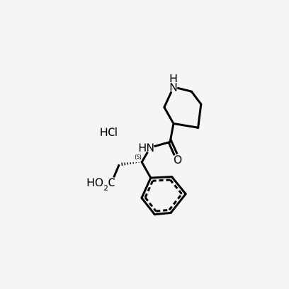 Cl.O=C(O)C[C@H](NC(=O)C1CCCNC1)c1ccccc1